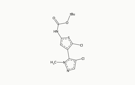 Cn1ncc(Cl)c1-c1cc(NC(=O)OC(C)(C)C)sc1Cl